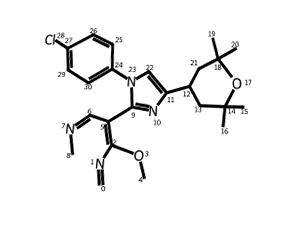 C=N/C(OC)=C(\C=N/C)c1nc(C2CC(C)(C)OC(C)(C)C2)cn1-c1ccc(Cl)cc1